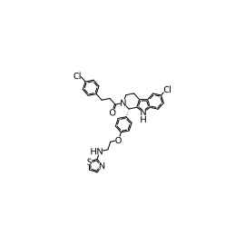 O=C(CCc1ccc(Cl)cc1)N1CCc2c([nH]c3ccc(Cl)cc23)[C@@H]1c1ccc(OCCNc2nccs2)cc1